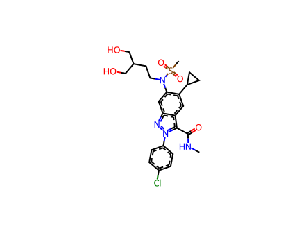 CNC(=O)c1c2cc(C3CC3)c(N(CCC(CO)CO)S(C)(=O)=O)cc2nn1-c1ccc(Cl)cc1